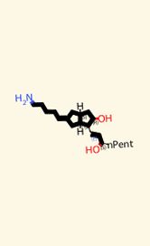 CCCCC[C@H](O)/C=C/[C@@H]1[C@H]2CC(=CCCCCN)C[C@H]2C[C@H]1O